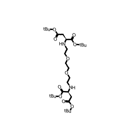 CC(C)(C)OC(=O)C[C@H](NCCOCCOCCN[C@@H](CC(=O)OC(C)(C)C)C(=O)OC(C)(C)C)C(=O)OC(C)(C)C